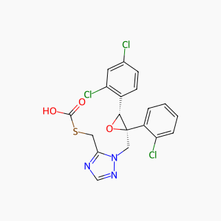 O=C(O)SCc1ncnn1C[C@]1(c2ccccc2Cl)O[C@@H]1c1ccc(Cl)cc1Cl